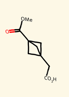 COC(=O)C12CC(CC(=O)O)(C1)C2